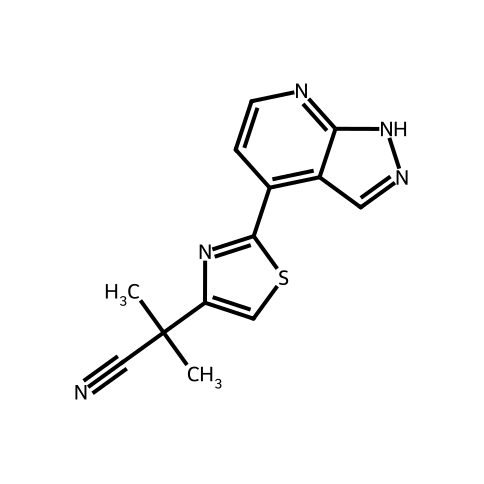 CC(C)(C#N)c1csc(-c2ccnc3[nH]ncc23)n1